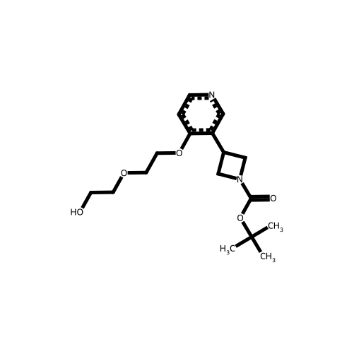 CC(C)(C)OC(=O)N1CC(c2cnccc2OCCOCCO)C1